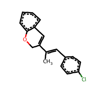 CC(=Cc1ccc(Cl)cc1)C1=Cc2ccccc2OC1